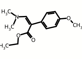 CCOC(=O)C(=CN(C)C)c1ccc(OC)cc1